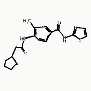 Cc1cc(C(=O)Nc2nccs2)ccc1NC(=O)CC1CCCC1